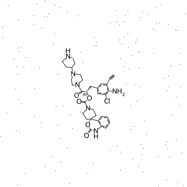 C#Cc1cc(C[C@@H](OC(=O)N2CCC3(CC2)OC(=O)Nc2ccccc23)C(=O)N2CCN(C3CCNCC3)CC2)cc(Cl)c1N